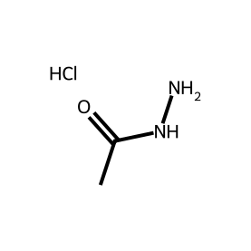 CC(=O)NN.Cl